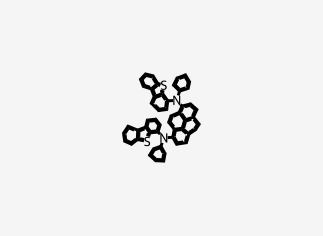 c1ccc(N(c2ccc3ccc4ccc(N(c5ccccc5)c5cccc6c5sc5ccccc56)c5ccc2c3c45)c2cccc3c2sc2ccccc23)cc1